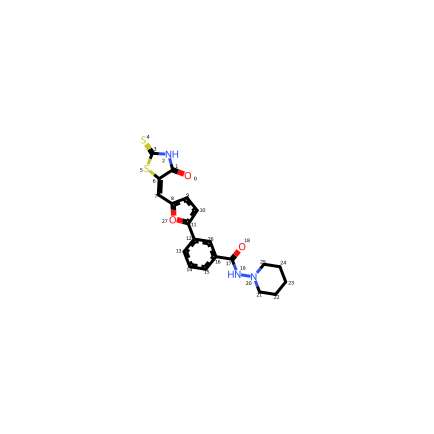 O=C1NC(=S)S/C1=C/c1ccc(-c2cccc(C(=O)NN3CCCCC3)c2)o1